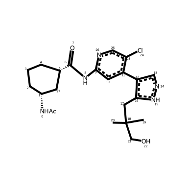 CC(=O)N[C@@H]1CCC[C@H](C(=O)Nc2cc(-c3cn[nH]c3CC(C)(C)CO)c(Cl)cn2)C1